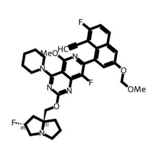 C#Cc1c(F)ccc2cc(OCOC)cc(-c3nc(OC)c4c(N5CCCCC5)nc(OC[C@@]56CCCN5C[C@H](F)C6)nc4c3F)c12